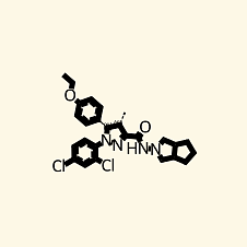 CCOc1ccc([C@@H]2[C@H](C)C(C(=O)NN3CC4CCCC4C3)=NN2c2ccc(Cl)cc2Cl)cc1